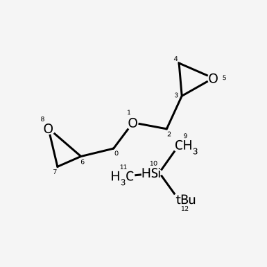 C(OCC1CO1)C1CO1.C[SiH](C)C(C)(C)C